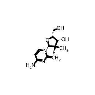 C=C1N=C(N)C=CN1[C@@H]1O[C@H](CO)[C@H](O)C1(C)F